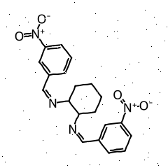 O=[N+]([O-])c1cccc(/C=N\C2CCCCC2/N=C\c2cccc([N+](=O)[O-])c2)c1